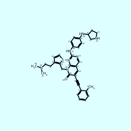 Cc1ccccc1C#Cc1cc2cnc(Nc3ccc(NC4CCNC4)cc3)nc2n(Cc2sccc2CCN(C)C)c1=O